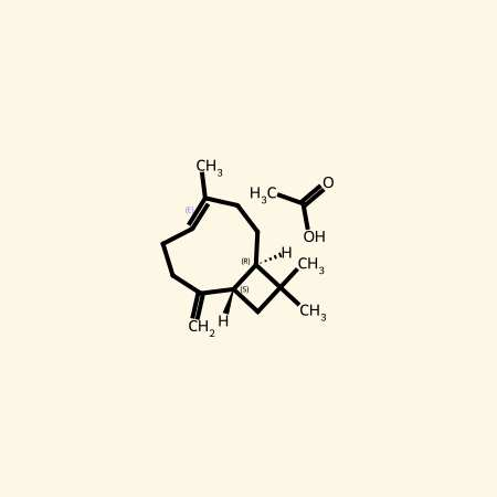 C=C1CC/C=C(\C)CC[C@@H]2[C@@H]1CC2(C)C.CC(=O)O